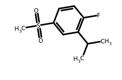 CC(C)c1cc(S(C)(=O)=O)ccc1F